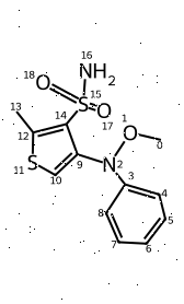 CON(c1ccccc1)c1csc(C)c1S(N)(=O)=O